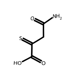 NC(=O)CC(=S)C(=O)O